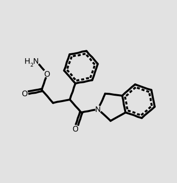 NOC(=O)CC(C(=O)N1Cc2ccccc2C1)c1ccccc1